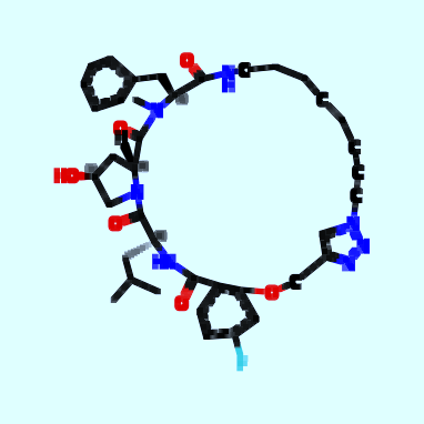 CC(C)C[C@H]1NC(=O)c2ccc(F)cc2OCc2cn(nn2)CCCCCCCCNC(=O)[C@H](Cc2ccccc2)N(C)C(=O)[C@H]2C[C@H](O)CN2C1=O